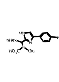 CCCCCCC(c1nc(-c2ccc(F)cc2)c[nH]1)N(C(=O)O)C(C)(C)C